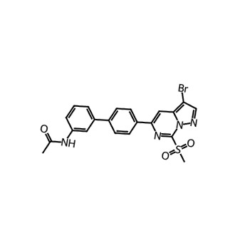 CC(=O)Nc1cccc(-c2ccc(-c3cc4c(Br)cnn4c(S(C)(=O)=O)n3)cc2)c1